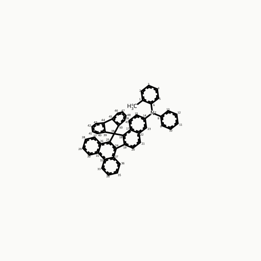 Cc1ccccc1N(c1ccccc1)c1ccc2c3c(ccc2c1)-c1c(c2ccccc2c2ccccc12)C31c2ccccc2-c2ccccc21